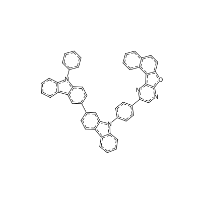 c1ccc(-n2c3ccccc3c3cc(-c4ccc5c6ccccc6n(-c6ccc(-c7cnc8oc9ccc%10ccccc%10c9c8n7)cc6)c5c4)ccc32)cc1